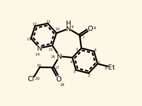 CCc1ccc2c(c1)C(=O)Nc1cccnc1N2C(=O)CCl